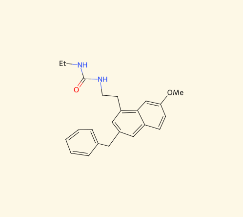 CCNC(=O)NCCc1cc(Cc2ccccc2)cc2ccc(OC)cc12